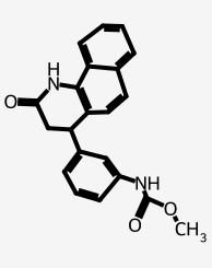 COC(=O)Nc1cccc(C2CC(=O)Nc3c2ccc2ccccc32)c1